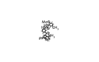 COc1ccc(C)cc1NC(=O)Nc1cccc(C(=O)c2cn(C(C)C)c3ncnc(N)c23)c1